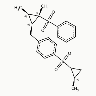 C[C@@H]1CC1S(=O)(=O)c1ccc(C[C@H]2[C@@H](C)[C@]2(C)S(=O)(=O)c2ccccc2)cc1